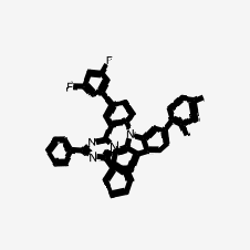 Cc1ccc(-c2ccc3c4ccccc4n(-c4ccc(-c5cc(F)cc(F)c5)cc4-c4nc(-c5ccccc5)nc(-c5ccccc5)n4)c3c2)c(C)c1